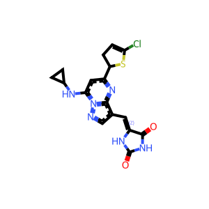 O=C1NC(=O)/C(=C/c2cnn3c(NC4CC4)cc(C4CC=C(Cl)S4)nc23)N1